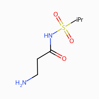 CC(C)S(=O)(=O)NC(=O)CCN